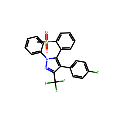 CS(=O)(=O)c1ccccc1-c1c(-c2ccc(F)cc2)c(C(F)(F)F)nn1-c1ccccc1